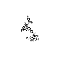 COC1OC(CS(=O)(=O)c2ccc(-c3ccc(C4C(CCC(O)c5ccc(F)cc5)C(=O)N4c4ccc(F)cc4)c(O)c3)cc2)C(O)C(O)C1O